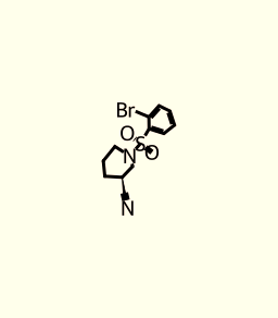 N#C[C@H]1CCCN(S(=O)(=O)c2ccccc2Br)C1